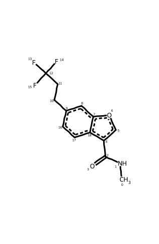 CNC(=O)c1coc2cc(CCC(F)(F)F)ccc12